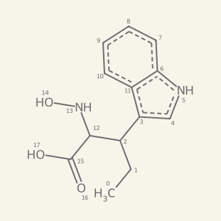 CCC(c1c[nH]c2ccccc12)C(NO)C(=O)O